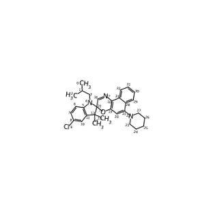 CC(C)CN1c2ccc(Cl)cc2C(C)(C)C12C=Nc1c(cc(N3CCCCC3)c3ccccc13)O2